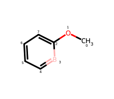 COc1bcccc1